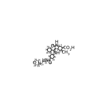 Cc1cc2c(cc1C(=O)O)NC(=O)/C2=C(/Nc1ccc(C(=O)NCCCN2CCOCC2)cc1)c1ccccc1